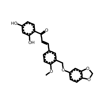 COc1ccc(/C=C/C(=O)c2ccc(O)cc2O)cc1COc1ccc2c(c1)OCO2